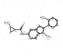 Cc1cccnc1-c1cc2cc(NC(=O)C3CC3C)ncc2n1C